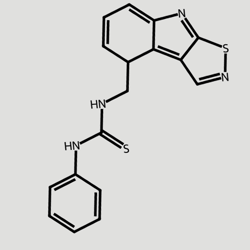 S=C(NCC1C=CC=C2N=c3sncc3=C21)Nc1ccccc1